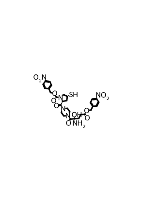 N[C@](O)(CCC(=O)OCc1ccc([N+](=O)[O-])cc1)C(=O)N1CCN(C(=O)[C@@H]2C[C@H](S)CN2C(=O)OCc2ccc([N+](=O)[O-])cc2)CC1